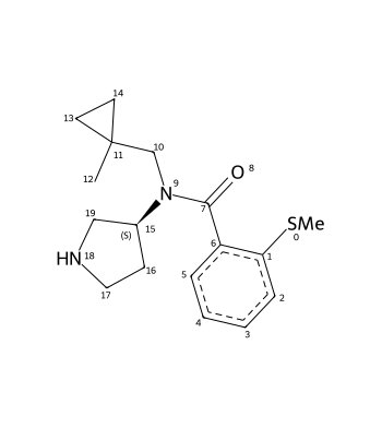 CSc1ccccc1C(=O)N(CC1(C)CC1)[C@H]1CCNC1